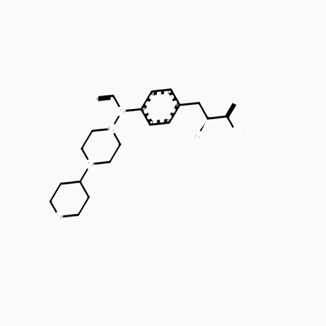 N[C@@H](Cc1ccc(N(C=O)N2CCN(C3CCNCC3)CC2)cc1)C(=O)O